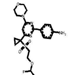 Nc1ccc(-c2nc(N3CCOCC3)cc(C3(S(=O)(=O)CCOC(F)F)CC3)n2)cc1